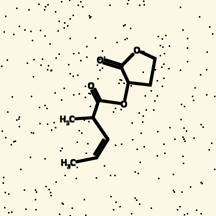 C/C=C\C(C)C(=O)OC1CCOC1=O